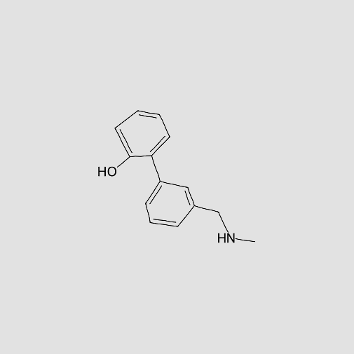 CNCc1cccc(-c2ccccc2O)c1